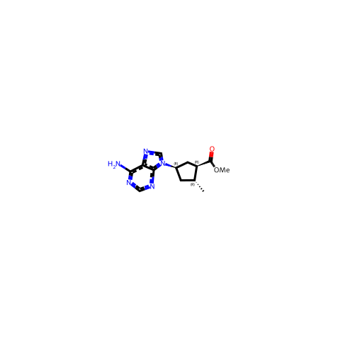 COC(=O)[C@@H]1C[C@H](n2cnc3c(N)ncnc32)C[C@H]1C